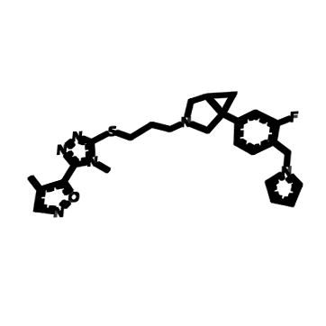 Cc1cnoc1-c1nnc(SCCCN2CC3CC3(c3ccc(Cn4cccc4)c(F)c3)C2)n1C